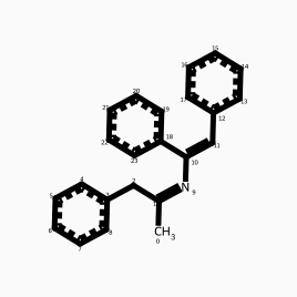 C/C(Cc1ccccc1)=N/C(=Cc1ccccc1)c1ccccc1